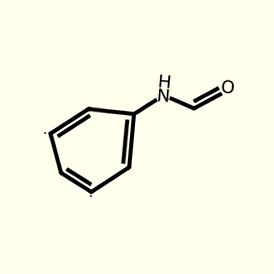 O=CNc1c[c]c[c]c1